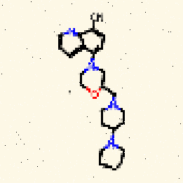 C[C@@H]1CN(c2ccc(C#N)c3ncccc23)CC(CN2CCC(N3CCCCC3)CC2)O1